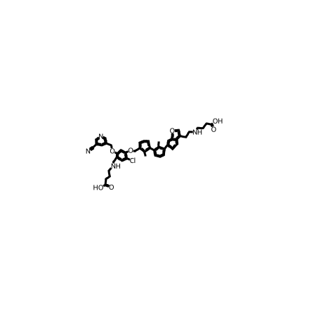 Cc1c(COc2cc(OCc3cncc(C#N)c3)c(CNCCCC(=O)O)cc2Cl)cccc1-c1cccc(-c2ccc3c(CCNCCCC(=O)O)coc3c2)c1C